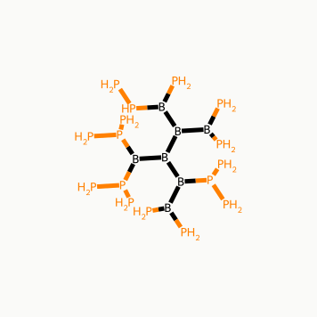 PPB(P)B(B(P)P)B(B(B(P)P)P(P)P)B(P(P)P)P(P)P